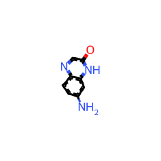 Nc1ccc2ncc(=O)[nH]c2c1